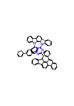 C1=CCCC(c2ccc(-c3nc(CC4c5ccccc5-c5ccc6c(c(-c7ccccc7)cc7ccccc76)c54)nc(-n4c5ccccc5c5ccc6c7ccccc7n(-c7ccccc7)c6c54)n3)cc2)=C1